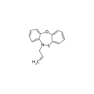 C=CCn1sc2ccccc2oc2ccccc21